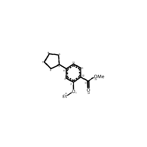 CCOc1cc(C2CCCC2)ccc1C(=O)OC